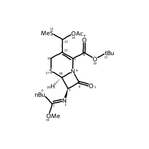 CCCCC(=N[C@@H]1C(=O)N2C(C(=O)OC(C)(C)C)=C(C(OC(C)=O)SC)CS[C@H]12)OC